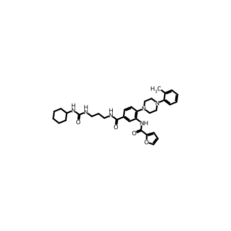 Cc1ccccc1N1CCN(c2ccc(C(=O)NCCCNC(=O)NC3CCCCC3)cc2NC(=O)c2ccco2)CC1